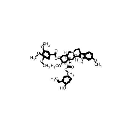 C=Cc1ccccc1O.COC(=O)[C@H]1[C@H]2C[C@@H]3c4[nH]c5cc(OC)ccc5c4CCN3C[C@H]2C[C@@H](OC(=O)c2cc(OC)c(OC)c(OC)c2)[C@@H]1OC